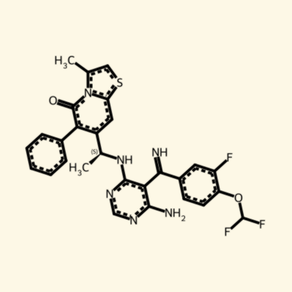 Cc1csc2cc([C@H](C)Nc3ncnc(N)c3C(=N)c3ccc(OC(F)F)c(F)c3)c(-c3ccccc3)c(=O)n12